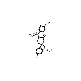 C[C@@H](c1ccc(Br)cc1)N1CCC(CC(=O)O)(c2ccc(F)cc2)OC1=O